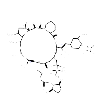 COC1CC(C)C2(O)OC1[C@@H](OC)C[C@@H](C)C/C(C)=C/[C@@H](CCOC(=O)ON1C(=O)CCC1=O)C(=O)CC(CC(C)(C)[Si](C)(C)O)[C@@H](C)C(/C(C)=C/C1CC[C@@H](O[Si](C)(C)C(C)(C)C)C(OC)C1)OC(=O)C1CCCCN1C(=O)C2=O